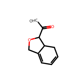 O=CC(=O)C1OCC2=CC=CCC21